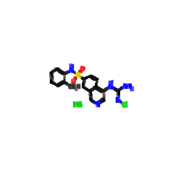 Cl.NC(=NCl)Nc1cncc2cc(S(=O)(=O)Nc3ccccc3C(=O)O)ccc12